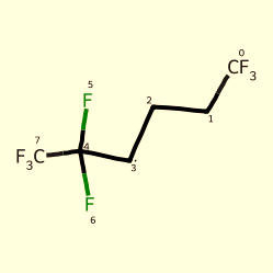 FC(F)(F)CC[CH]C(F)(F)C(F)(F)F